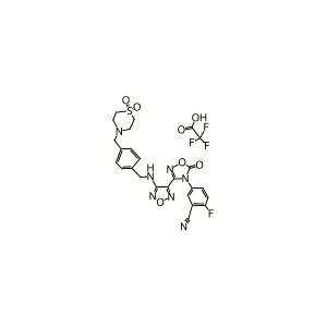 N#Cc1cc(-n2c(-c3nonc3NCc3ccc(CN4CCS(=O)(=O)CC4)cc3)noc2=O)ccc1F.O=C(O)C(F)(F)F